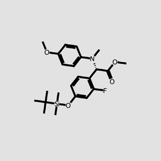 COC(=O)[C@H](c1ccc(O[Si](C)(C)C(C)(C)C)cc1F)N(C)c1ccc(OC)cc1